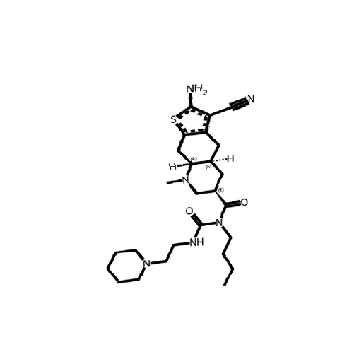 CCCCN(C(=O)NCCN1CCCCC1)C(=O)[C@@H]1C[C@@H]2Cc3c(sc(N)c3C#N)C[C@H]2N(C)C1